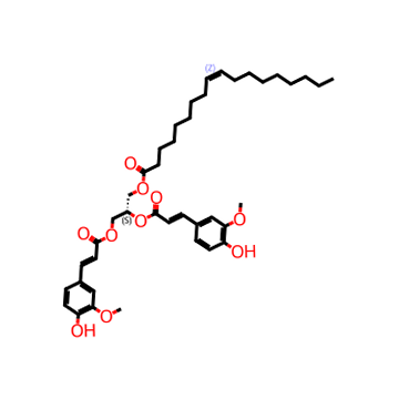 CCCCCCCC/C=C\CCCCCCCC(=O)OC[C@@H](COC(=O)C=Cc1ccc(O)c(OC)c1)OC(=O)C=Cc1ccc(O)c(OC)c1